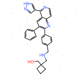 OCC1(CNCc2ccc(-c3nc4ccnc(-c5cn[nH]c5)c4cc3-c3ccccc3)cc2)CCC1